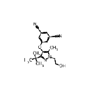 Cc1c(Oc2cc(C#N)cc(C#N)c2)c(C(C)(C)C)nn1CCO